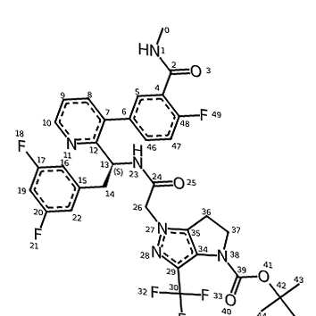 CNC(=O)c1cc(-c2cccnc2[C@H](Cc2cc(F)cc(F)c2)NC(=O)Cn2nc(C(F)(F)F)c3c2CCN3C(=O)OC(C)(C)C)ccc1F